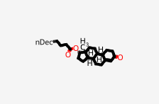 CCCCCCCCCCCCCC(=O)O[C@H]1CC[C@H]2[C@@H]3CCC4=CC(=O)CC[C@@H]4[C@H]3CC[C@]12C